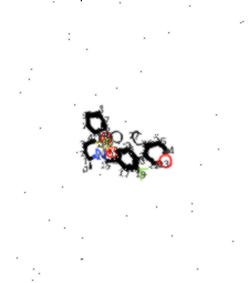 C[C@H]1CC[C@H](C2C=CC=CC2)S(=O)(=O)N1Cc1cc(F)c([C@H]2COCC[C@@H]2C(=O)O)cc1F